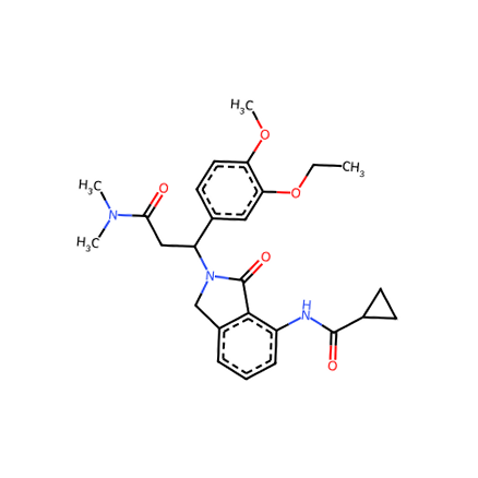 CCOc1cc(C(CC(=O)N(C)C)N2Cc3cccc(NC(=O)C4CC4)c3C2=O)ccc1OC